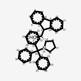 OC(C1c2ccccc2-c2ccccc21)[C@@H]1CCCN1C(c1ccccc1)(c1ccccc1)c1ccccc1